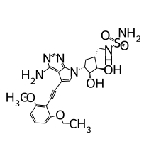 CCOc1cccc(OC)c1C#Cc1cn([C@@H]2C[C@H](CNS(N)(=O)=O)[C@@H](O)[C@H]2O)c2ncnc(N)c12